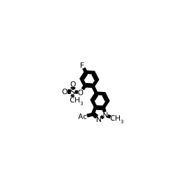 CC(=O)c1nn(C)c2ccc(-c3ccc(F)cc3OS(C)(=O)=O)cc12